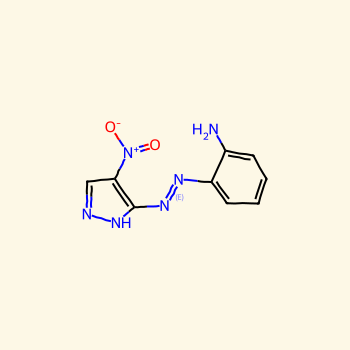 Nc1ccccc1/N=N/c1[nH]ncc1[N+](=O)[O-]